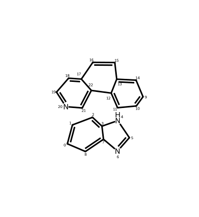 c1ccc2[nH]cnc2c1.c1ccc2c(c1)ccc1ccncc12